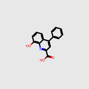 O=C(O)c1cc(-c2ccccc2)c2cccc(O)c2n1